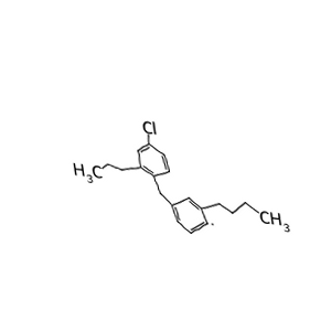 CCCCc1[c]ccc(Cc2ccc(Cl)cc2CCC)c1